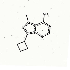 Cc1nc(C2CCC2)n2ncnc(N)c12